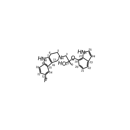 CC(O)(CN1CCc2[nH]c3ccc(F)cc3c2C1)Oc1cccc2cc[nH]c12